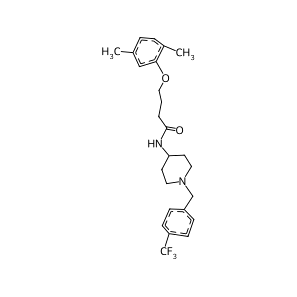 Cc1ccc(C)c(OCCCC(=O)NC2CCN(Cc3ccc(C(F)(F)F)cc3)CC2)c1